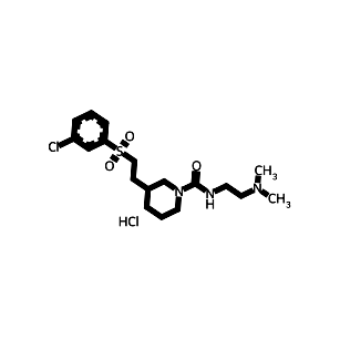 CN(C)CCNC(=O)N1CCCC(CCS(=O)(=O)c2cccc(Cl)c2)C1.Cl